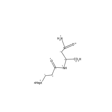 CCCCCCCCCC(=O)NC(CC(N)=O)C(=O)O